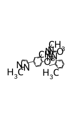 Cc1nccc(-c2ccc(OCc3c(C)cccc3-n3nnn(C)c3=O)c(C)c2)n1